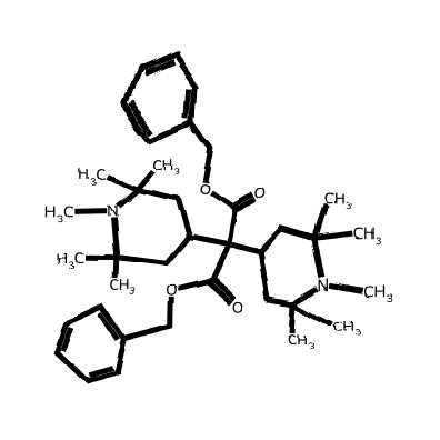 CN1C(C)(C)CC(C(C(=O)OCc2ccccc2)(C(=O)OCc2ccccc2)C2CC(C)(C)N(C)C(C)(C)C2)CC1(C)C